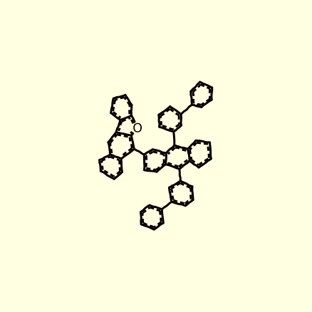 c1ccc(-c2cccc(-c3c4ccccc4c(-c4cccc(-c5ccccc5)c4)c4cc(-c5c6ccccc6cc6c5oc5ccccc56)ccc34)c2)cc1